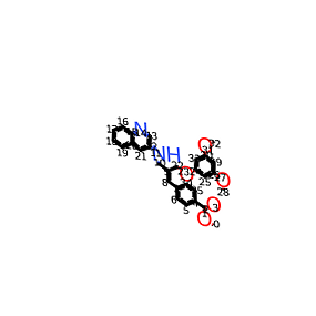 COC(=O)c1ccc(C=C(CNc2cnc3ccccc3c2)COc2cc(OC)cc(OC)c2)cc1